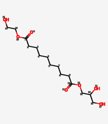 O=C(CCCCCCCCC(=O)OCC(O)CO)OCCO